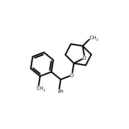 Cc1ccccc1C(OC12CCC(C)(CC1)O2)C(C)C